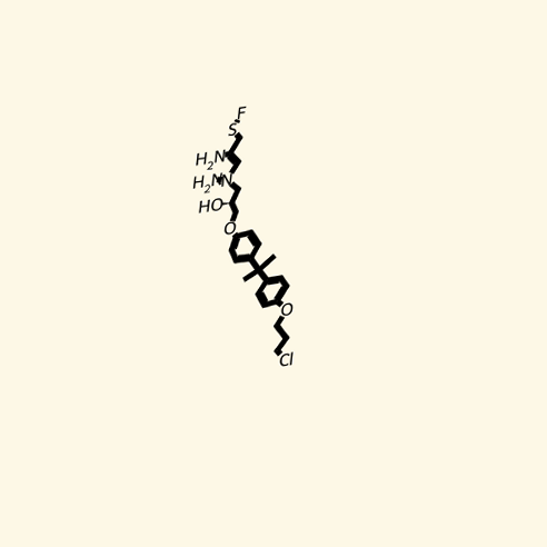 CC(C)(c1ccc(OCCCCl)cc1)c1ccc(OC[C@H](O)CN(N)/C=C(\N)CSF)cc1